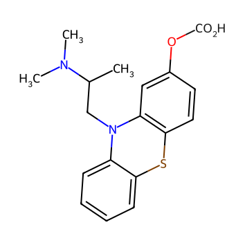 CC(CN1c2ccccc2Sc2ccc(OC(=O)O)cc21)N(C)C